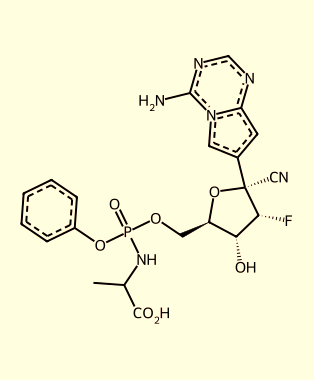 CC(NP(=O)(OC[C@H]1O[C@@](C#N)(c2cc3ncnc(N)n3c2)[C@H](F)[C@@H]1O)Oc1ccccc1)C(=O)O